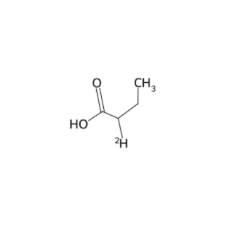 [2H]C(CC)C(=O)O